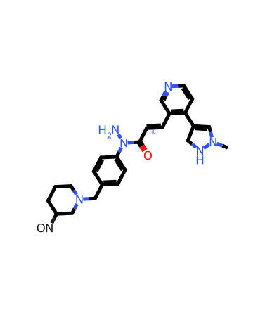 CN1C=C(c2ccncc2/C=C/C(=O)N(N)c2ccc(CN3CCCC(N=O)C3)cc2)CN1